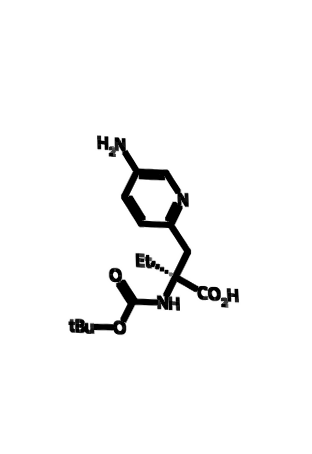 CC[C@@](Cc1ccc(N)cn1)(NC(=O)OC(C)(C)C)C(=O)O